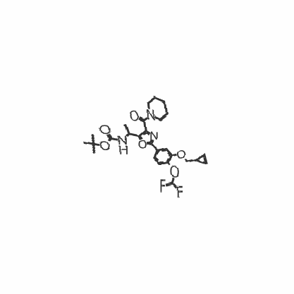 CC(NC(=O)OC(C)(C)C)c1oc(-c2ccc(OC(F)F)c(OCC3CC3)c2)nc1C(=O)N1CCCCC1